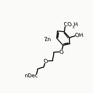 CCCCCCCCCCCCOCCOc1ccc(C(=O)O)c(O)c1.[Zn]